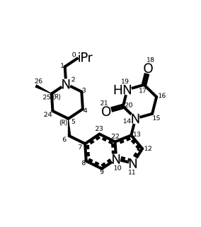 CC(C)CN1CC[C@@H](Cc2ccn3ncc(N4CCC(=O)NC4=O)c3c2)C[C@H]1C